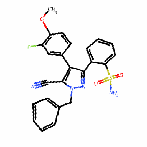 COc1ccc(-c2c(-c3ccccc3S(N)(=O)=O)nn(Cc3ccccc3)c2C#N)cc1F